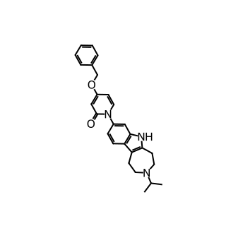 CC(C)N1CCc2[nH]c3cc(-n4ccc(OCc5ccccc5)cc4=O)ccc3c2CC1